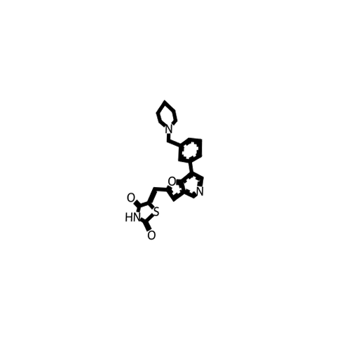 O=C1NC(=O)/C(=C/c2cc3cncc(-c4cccc(CN5CCCCC5)c4)c3o2)S1